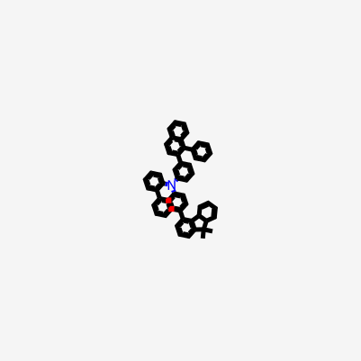 CC1(C)c2cccc(-c3ccc(N(c4cccc(-c5ccc6ccccc6c5-c5ccccc5)c4)c4ccccc4-c4ccccc4)cc3)c2C2C=CC=CC21